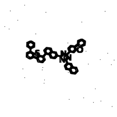 c1ccc(-c2cccc3c2sc2c(-c4cccc5cc(-c6nc(-c7ccc8ccccc8c7)nc(-c7ccc8c(c7)oc7ccccc78)n6)ccc45)cccc23)cc1